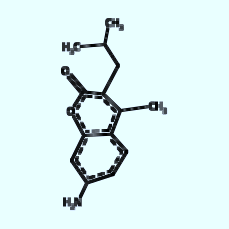 Cc1c(CC(C)C)c(=O)oc2cc(N)ccc12